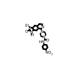 CCn1c(=O)n(CC)c2cc3c(N4CCN(C(=O)Nc5ccc([N+](=O)[O-])cc5)CC4)nncc3cc21